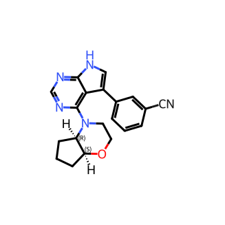 N#Cc1cccc(-c2c[nH]c3ncnc(N4CCO[C@H]5CCC[C@H]54)c23)c1